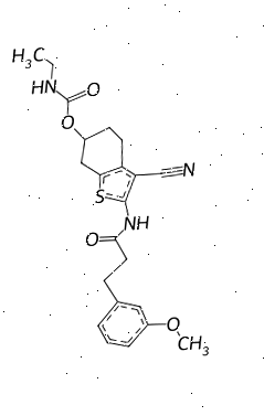 CCNC(=O)OC1CCc2c(sc(NC(=O)CCc3cccc(OC)c3)c2C#N)C1